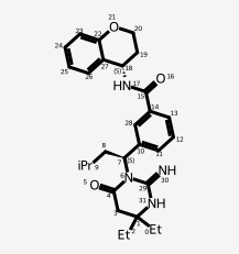 CCC1(CC)CC(=O)N([C@@H](CC(C)C)c2cccc(C(=O)N[C@H]3CCOc4ccccc43)c2)C(=N)N1